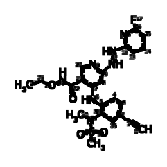 C#Cc1ccc(Nc2cc(NNc3cccc(F)n3)ncc2C(=O)NOCC)c(N(C)S(C)(=O)=O)c1